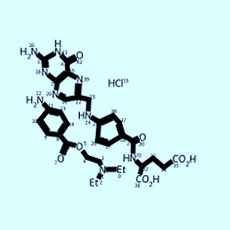 CCN(CC)CCOC(=O)c1ccc(N)cc1.Cl.Nc1nc2ncc(CNc3ccc(C(=O)NC(CCC(=O)O)C(=O)O)cc3)nc2c(=O)[nH]1